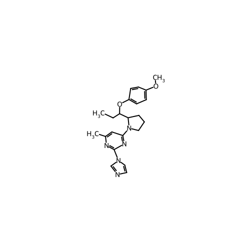 CCC(Oc1ccc(OC)cc1)C1CCCN1c1cc(C)nc(-n2ccnc2)n1